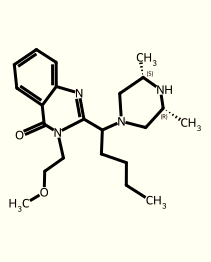 CCCCC(c1nc2ccccc2c(=O)n1CCOC)N1C[C@@H](C)N[C@@H](C)C1